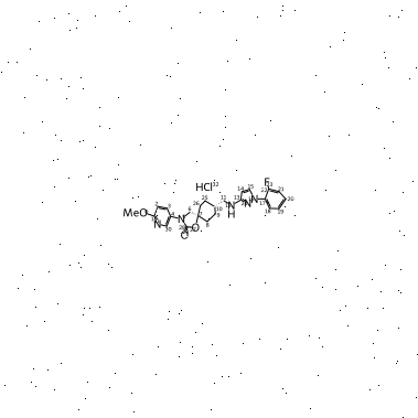 COc1ccc(N2C[C@]3(CC[C@@H](CNc4ccn(-c5ccccc5F)n4)CC3)OC2=O)cn1.Cl